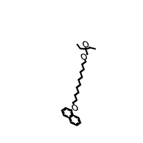 CCC1(COCCCCCCCCCCCCOc2cccc3ccccc23)OC1C